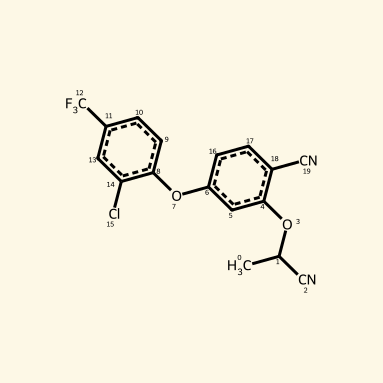 CC(C#N)Oc1cc(Oc2ccc(C(F)(F)F)cc2Cl)ccc1C#N